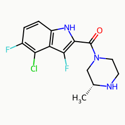 C[C@@H]1CN(C(=O)c2[nH]c3ccc(F)c(Cl)c3c2F)CCN1